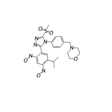 CC(C)c1cc(-c2nnc(S(C)(=O)=O)n2-c2ccc(CN3CCOCC3)cc2)c(N=O)cc1N=O